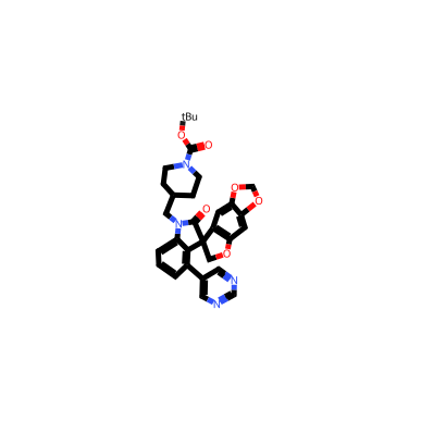 CC(C)(C)OC(=O)N1CCC(CN2C(=O)C3(COc4cc5c(cc43)OCO5)c3c(-c4cncnc4)cccc32)CC1